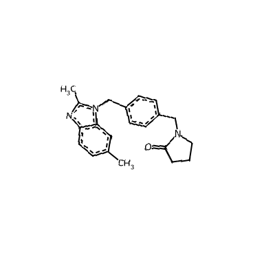 Cc1ccc2nc(C)n(Cc3ccc(CN4CCCC4=O)cc3)c2c1